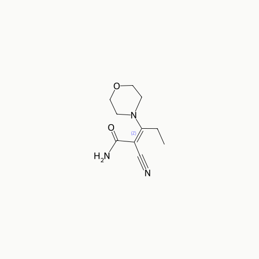 CC/C(=C(\C#N)C(N)=O)N1CCOCC1